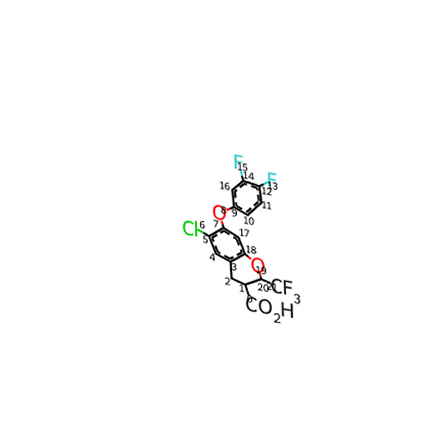 O=C(O)C1Cc2cc(Cl)c(Oc3ccc(F)c(F)c3)cc2OC1C(F)(F)F